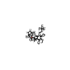 CCn1c(=O)c2c(C)c(C(=O)N3[C@@H]4CC[C@H]3CC(O)C4)sc2n(CCC(F)(F)F)c1=O